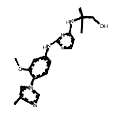 COc1cc(Nc2nccc(NC(C)(C)CO)n2)ccc1-n1cnc(C)c1